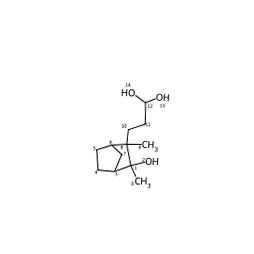 CC1(O)C2CCC(C2)C1(C)CCC(O)O